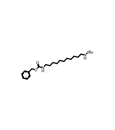 CC(C)(C)NCCCCCCCCCCCNC(=O)OCc1ccccc1